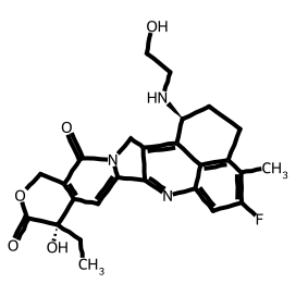 CC[C@@]1(O)C(=O)OCc2c1cc1n(c2=O)Cc2c-1nc1cc(F)c(C)c3c1c2[C@@H](NCCO)CC3